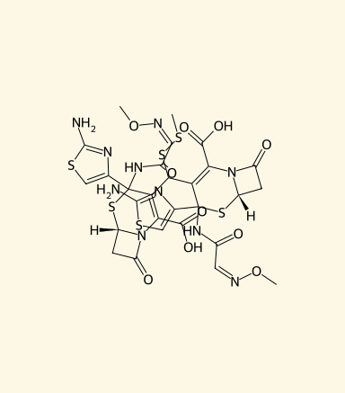 CO/N=C\C(=O)NC1(c2csc(N)n2)S[C@H]2CC(=O)N2C(C(=O)O)=C1C(SSC)C1=C(C(=O)O)N2C(=O)C[C@@H]2SC1(NC(=O)/C=N\OC)c1csc(N)n1